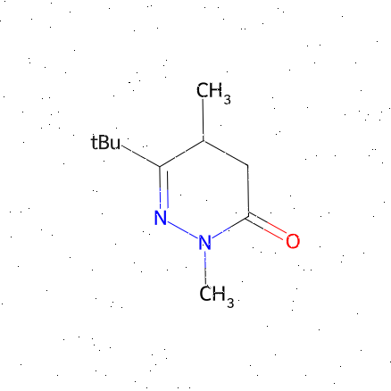 CC1CC(=O)N(C)N=C1C(C)(C)C